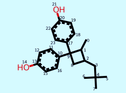 CC1C(CC(C)(C)C)CC1(c1ccc(O)cc1)c1ccc(O)cc1